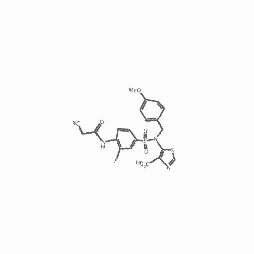 COc1ccc(CN(c2scnc2C(=O)O)S(=O)(=O)c2ccc(NC(=O)CC#N)c(F)c2)cc1